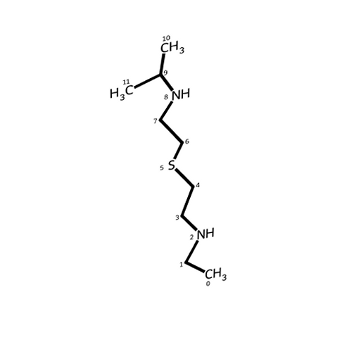 CCNCCSCCNC(C)C